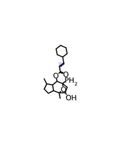 CC1CCC2C1C(OC(=O)/C=C/C1CCCCC1)C1(P)CC(O)C2(C)O1